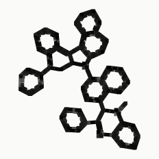 CN1c2ccccc2N=C(c2ccccc2)C1c1ccc(N2c3ccc4ccccc4c3C3=c4ccccc4=C(c4ccccc4)CC32)c2ccccc12